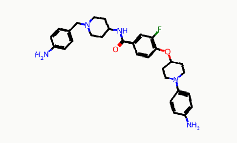 Nc1ccc(CN2CCC(NC(=O)c3ccc(OC4CCN(c5ccc(N)cc5)CC4)c(F)c3)CC2)cc1